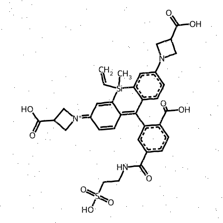 C=C[Si]1(C)C2=CC(=[N+]3CC(C(=O)O)C3)C=CC2=C(c2cc(C(=O)NCCS(=O)(=O)O)ccc2C(=O)O)c2ccc(N3CC(C(=O)O)C3)cc21